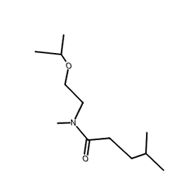 CC(C)CCC(=O)N(C)CCOC(C)C